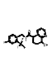 O=C(NCc1ccc(F)cc1C(F)(F)F)C1CCC(O)c2ncccc21